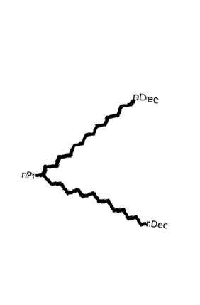 [CH2]CCC(CCCCCCCCCCCCCCCCCCCCCCC)CCCCCCCCCCCCCCCCCCCCCCCC